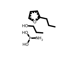 CCCO.CCCc1ccco1.NP(O)O